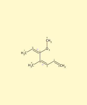 C=C/C=C(C)\C(=C/C)OC